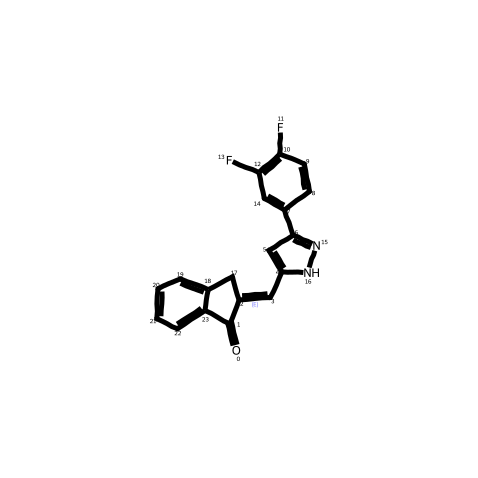 O=C1/C(=C/c2cc(-c3ccc(F)c(F)c3)n[nH]2)Cc2ccccc21